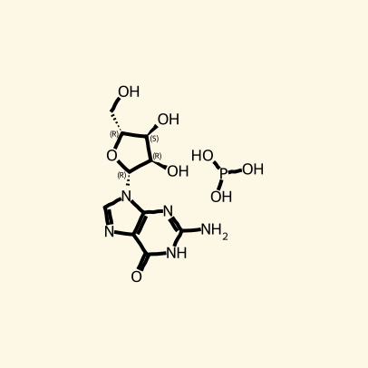 Nc1nc2c(ncn2[C@@H]2O[C@H](CO)[C@@H](O)[C@H]2O)c(=O)[nH]1.OP(O)O